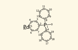 C[P](c1ccccc1)(c1ccccc1)c1ccccc1.[Pd]